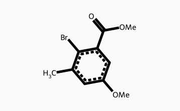 COC(=O)c1cc(OC)cc(C)c1Br